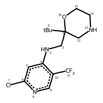 CC(C)(C)C1(CNc2cc(Cl)ncc2C(F)(F)F)CNCCO1